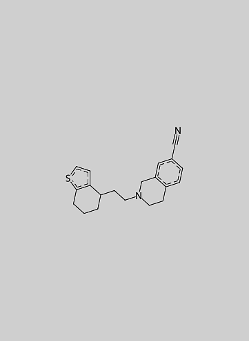 N#Cc1ccc2c(c1)CN(CCC1CCCc3sccc31)CC2